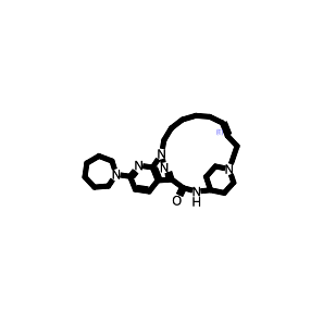 O=C1NC2CCN(C/C=C/CCCCCn3nc1c1ccc(N4CCCCCC4)nc13)CC2